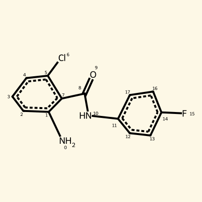 Nc1cccc(Cl)c1C(=O)Nc1ccc(F)cc1